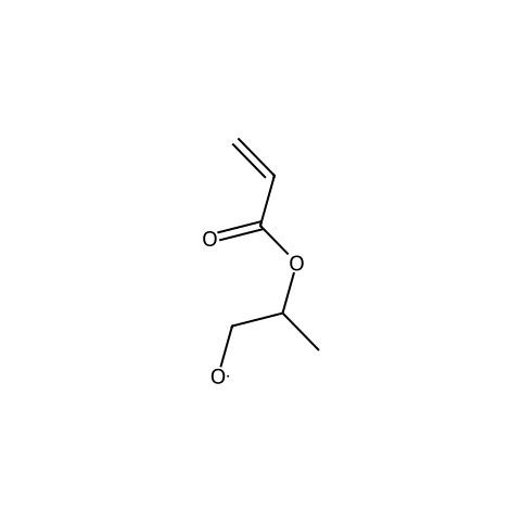 C=CC(=O)OC(C)C[O]